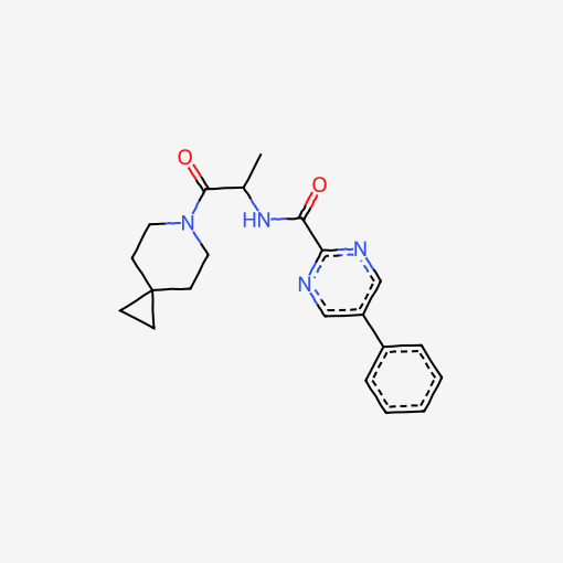 CC(NC(=O)c1ncc(-c2ccccc2)cn1)C(=O)N1CCC2(CC1)CC2